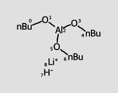 CCCC[O][Al]([O]CCCC)[O]CCCC.[H-].[Li+]